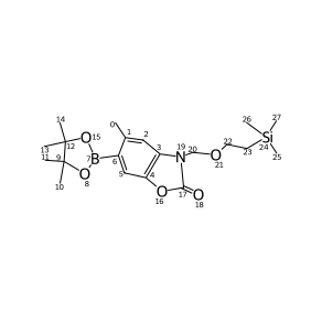 Cc1cc2c(cc1B1OC(C)(C)C(C)(C)O1)oc(=O)n2COCC[Si](C)(C)C